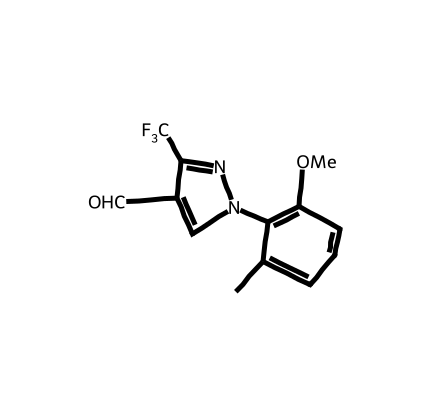 COc1cccc(C)c1-n1cc(C=O)c(C(F)(F)F)n1